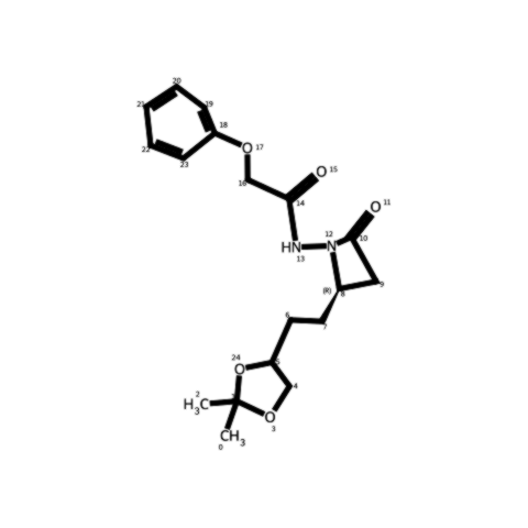 CC1(C)OCC(CC[C@@H]2CC(=O)N2NC(=O)COc2ccccc2)O1